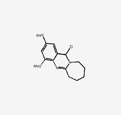 COc1cc(OC)c2c(c1)C(Cl)N1CCCCCC1=N2